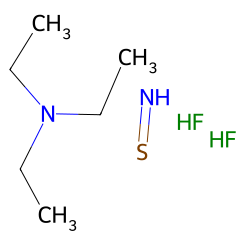 CCN(CC)CC.F.F.N=S